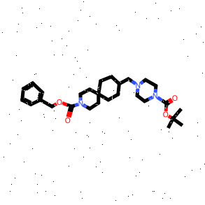 CC(C)(C)OC(=O)N1CCN(CC2CCC3(CC2)CCN(C(=O)OCc2ccccc2)CC3)CC1